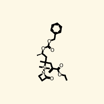 C=C(CC(C)(C[C@@H](C)OC(=O)OCc1ccccc1)[Si](C)(C)N1CCC1=O)C(=O)OCC